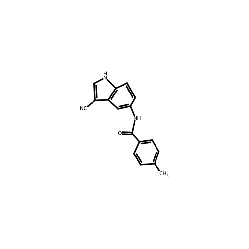 Cc1ccc(C(=O)Nc2ccc3[nH]cc(C#N)c3c2)cc1